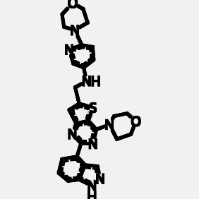 c1cc(-c2nc(N3CCOCC3)c3sc(CNc4ccc(N5CCOCC5)nc4)cc3n2)c2cn[nH]c2c1